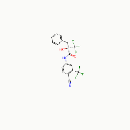 N#Cc1ccc(NC(=O)C(O)(Cc2ccccc2)C(F)(F)F)cc1C(F)(F)F